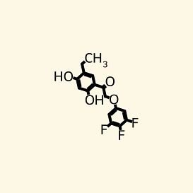 CCc1cc(C(=O)COc2cc(F)c(F)c(F)c2)c(O)cc1O